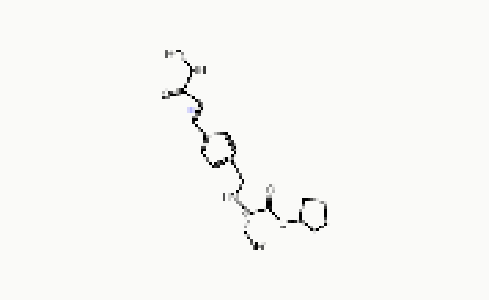 CC(C)C[C@H](NCc1ccc(/C=C/C(=O)NO)cc1)C(=O)OC1CCCC1